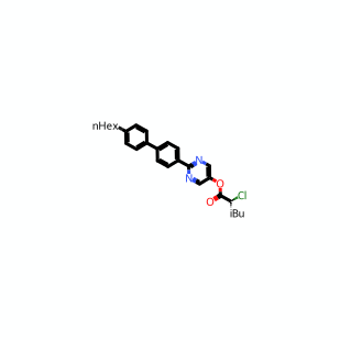 CCCCCCc1ccc(-c2ccc(-c3ncc(OC(=O)[C@@H](Cl)[C@@H](C)CC)cn3)cc2)cc1